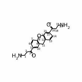 NCCC(=O)c1ccc2c(c1)Cc1ccc(C(=O)CCN)cc1O2